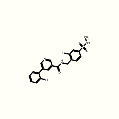 CNS(=O)(=O)c1ccc(CNC(=O)c2cncc(-c3ccccc3Cl)c2)c(Cl)c1